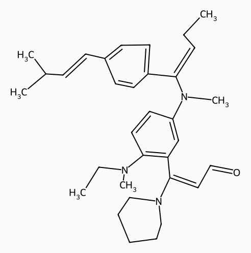 CC/C=C(\c1ccc(/C=C/C(C)C)cc1)N(C)c1ccc(N(C)CC)c(/C(=C\C=O)N2CCCCC2)c1